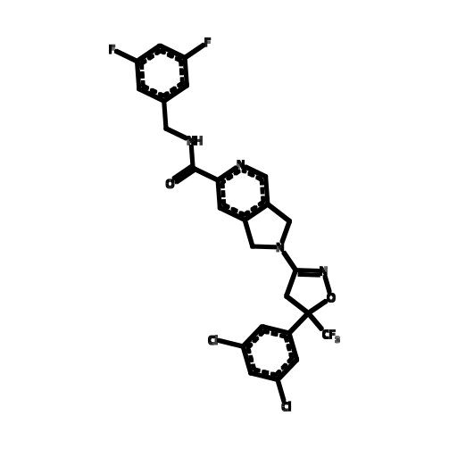 O=C(NCc1cc(F)cc(F)c1)c1cc2c(cn1)CN(C1=NOC(c3cc(Cl)cc(Cl)c3)(C(F)(F)F)C1)C2